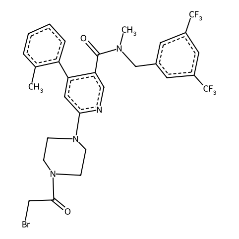 Cc1ccccc1-c1cc(N2CCN(C(=O)CBr)CC2)ncc1C(=O)N(C)Cc1cc(C(F)(F)F)cc(C(F)(F)F)c1